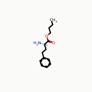 CCCCOC(=O)[C@@H](N)CCc1ccccc1